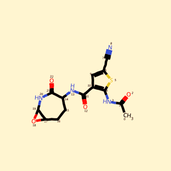 CC(=O)Nc1sc(C#N)cc1C(=O)NC1CCC2OC2NC1=O